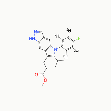 [2H]c1c([2H])c(-n2c(C(C)C)c(CCC(=O)OC)c3cc4[nH]ncc4cc32)c([2H])c([2H])c1F